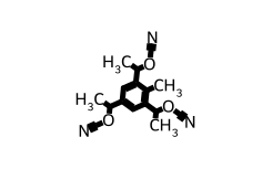 Cc1c(C(C)OC#N)cc(C(C)OC#N)cc1C(C)OC#N